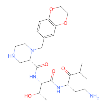 CC(C)C(=O)[C@H](CCN)NC(=O)[C@@H](NC(=O)[C@@H]1CNCCN1Cc1ccc2c(c1)OCCO2)[C@H](C)O